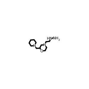 NNCCN1CCOC(CN2CCCCC2)C1